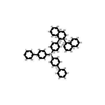 c1ccc(-c2ccc(N(c3ccc(-c4ccccc4)cc3)c3ccc(-c4c(-c5cccc6ccccc56)ccc5ccccc45)cc3)cc2)cc1